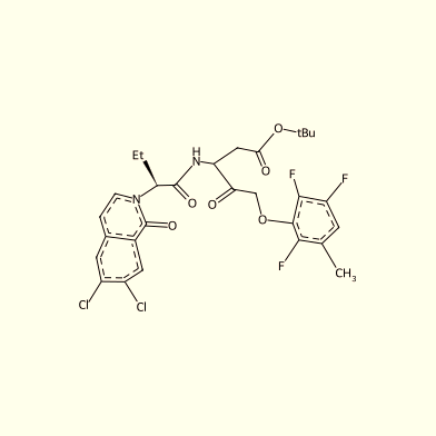 CC[C@@H](C(=O)NC(CC(=O)OC(C)(C)C)C(=O)COc1c(F)c(C)cc(F)c1F)n1ccc2cc(Cl)c(Cl)cc2c1=O